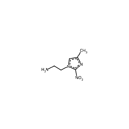 Cc1cn(CCN)c([N+](=O)[O-])n1